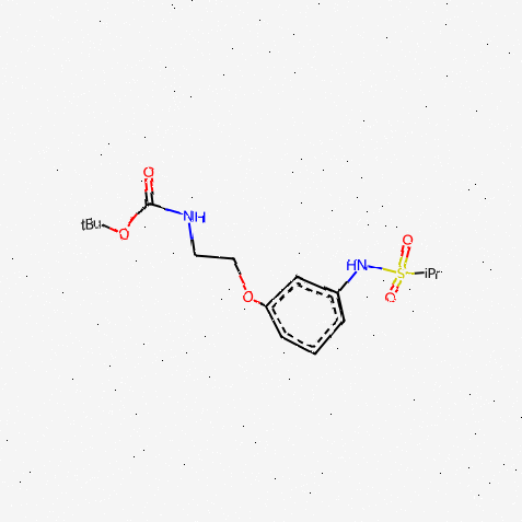 CC(C)S(=O)(=O)Nc1cccc(OCCNC(=O)OC(C)(C)C)c1